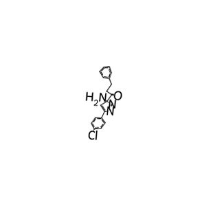 NC1(C(=O)CCc2ccccc2)C=C(c2ccc(Cl)cc2)N=N1